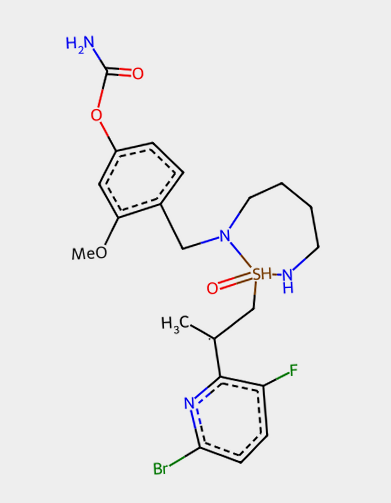 COc1cc(OC(N)=O)ccc1CN1CCCCN[SH]1(=O)C[C](C)c1nc(Br)ccc1F